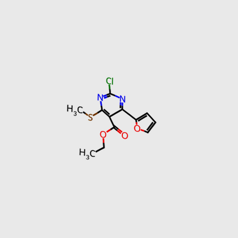 CCOC(=O)c1c(SC)nc(Cl)nc1-c1ccco1